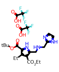 CCOC(=O)c1c(CNCc2ncc[nH]2)[nH]c(C(=O)OC(C)(C)C)c1CC.O=C(O)C(F)(F)F.O=C(O)C(F)(F)F